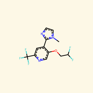 Cn1ccnc1-c1cc(C(F)(F)F)ncc1OCC(F)F